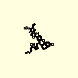 C=CCC(CCCC)[C@H](C)S(=O)(=O)NC(=O)c1ccc2c(c1)N(CC1CCC1C(O)/C=C/CCC)C[C@@]1(CCCc3cc(Cl)ccc31)CO2